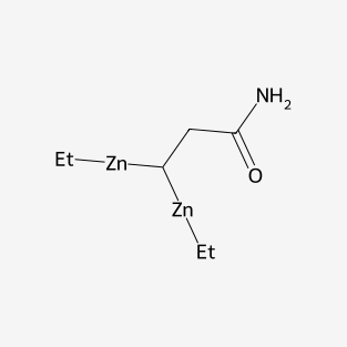 C[CH2][Zn][CH](CC(N)=O)[Zn][CH2]C